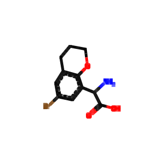 NC(C(=O)O)c1cc(Br)cc2c1OCCC2